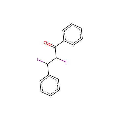 O=C([C](I)C(I)c1ccccc1)c1ccccc1